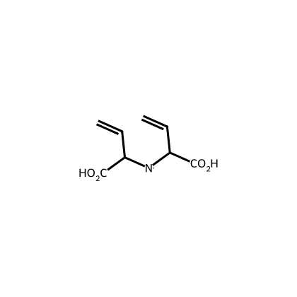 C=CC([N]C(C=C)C(=O)O)C(=O)O